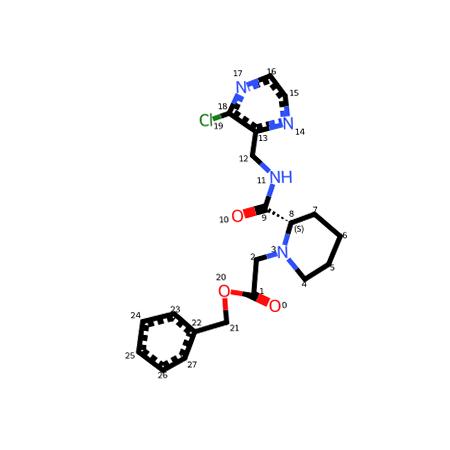 O=C(CN1CCCC[C@H]1C(=O)NCc1nccnc1Cl)OCc1ccccc1